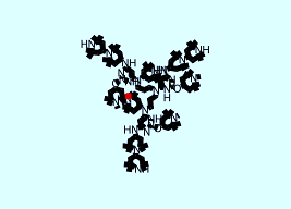 CN1C(C)(C)CC(ON2N=C(NC3CC(C)(C)N(C4CC(C)(C)NC(C)(C)C4)C(C)(C)C3)C=C(N(CCCN(C3=CC(NC4CC(C)(C)N(C5CC(C)(C)NC(C)(C)C5)C(C)(C)C4)=NN(OC4CC(C)(C)N(C)C(C)(C)C4)N3)C3CC(C)(C)NC(C)(C)C3)CCCN(C3=CC(NC4CC(C)(C)N(C5CC(C)(C)NC(C)(C)C5)C(C)(C)C4)=NN(OC4CC(C)(C)N(C)C(C)(C)C4)N3)C3CC(C)(C)NC(C)(C)C3)N2)CC1(C)C